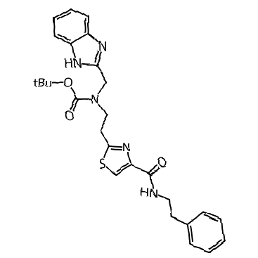 CC(C)(C)OC(=O)N(CCc1nc(C(=O)NCCc2ccccc2)cs1)Cc1nc2ccccc2[nH]1